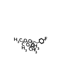 CC(C)OC(O[SiH2]CCc1ccc(F)cc1)OC(C)C